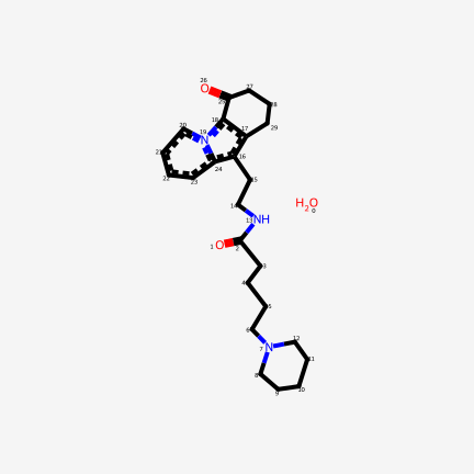 O.O=C(CCCCN1CCCCC1)NCCc1c2c(n3ccccc13)C(=O)CCC2